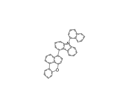 c1ccc2c(c1)Oc1ccc(-c3cccc4c3c3ccccc3n4-c3cccc4ccccc34)c3cccc-2c13